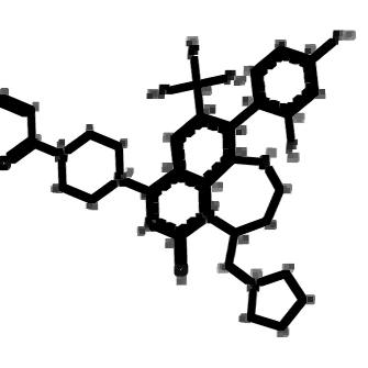 C=CC(=O)N1CCN(c2nc(=O)n3c4c(c(-c5ccc(F)cc5F)c(C(F)(F)F)cc24)SCCC3CN2CCCC2)CC1